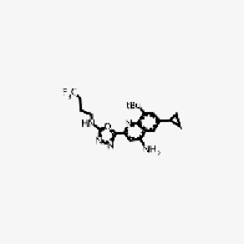 CC(C)(C)c1cc(C2CC2)cc2c(N)cc(-c3nnc(NCCCC(F)(F)F)o3)nc12